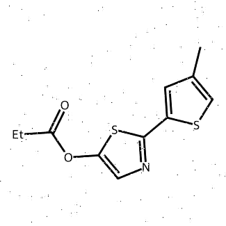 CCC(=O)Oc1cnc(-c2cc(C)cs2)s1